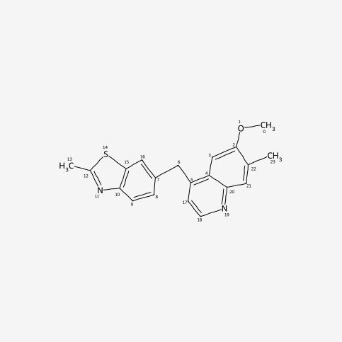 COc1cc2c(Cc3ccc4nc(C)sc4c3)ccnc2cc1C